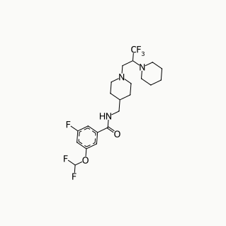 O=C(NCC1CCN(CC(N2CCCCC2)C(F)(F)F)CC1)c1cc(F)cc(OC(F)F)c1